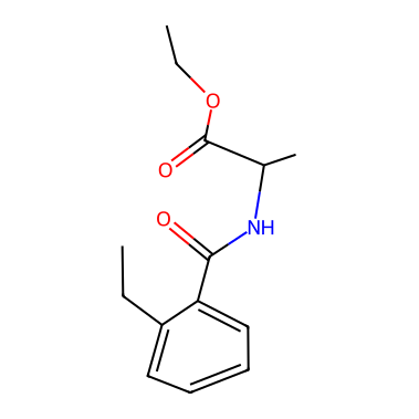 CCOC(=O)C(C)NC(=O)c1ccccc1CC